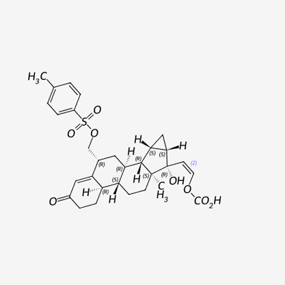 Cc1ccc(S(=O)(=O)OC[C@@H]2C[C@@H]3[C@H](CC[C@@]4(C)[C@H]3[C@@H]3C[C@@H]3[C@@]4(O)/C=C\OC(=O)O)[C@H]3CCC(=O)C=C23)cc1